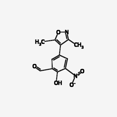 Cc1noc(C)c1-c1cc(C=O)c(O)c([N+](=O)[O-])c1